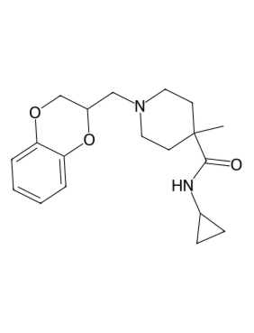 CC1(C(=O)NC2CC2)CCN(CC2COc3ccccc3O2)CC1